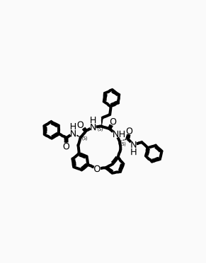 O=C(N[C@H]1Cc2cccc(c2)Oc2cccc(c2)C[C@@H](C(=O)NCc2ccccc2)NC(=O)[C@H](CCc2ccccc2)NC1=O)c1ccccc1